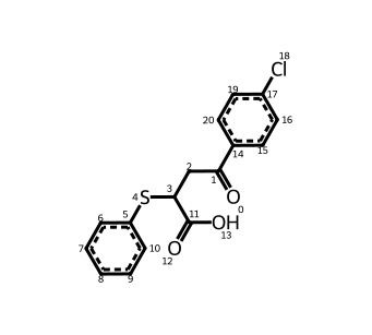 O=C(CC(Sc1ccccc1)C(=O)O)c1ccc(Cl)cc1